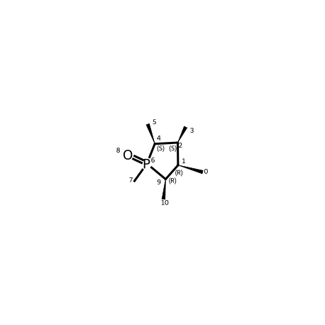 C[C@@H]1[C@H](C)[C@H](C)P(C)(=O)[C@@H]1C